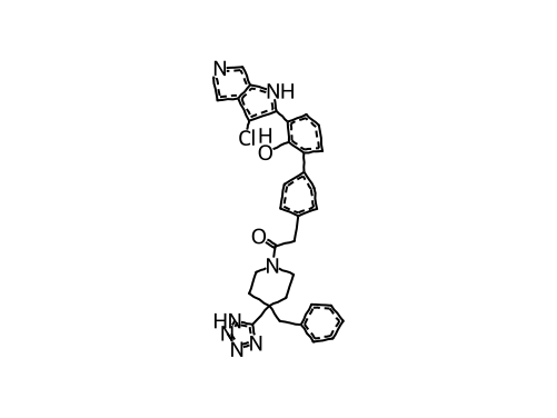 O=C(Cc1ccc(-c2cccc(-c3[nH]c4cnccc4c3Cl)c2O)cc1)N1CCC(Cc2ccccc2)(c2nnn[nH]2)CC1